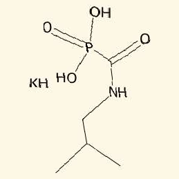 CC(C)CNC(=O)P(=O)(O)O.[KH]